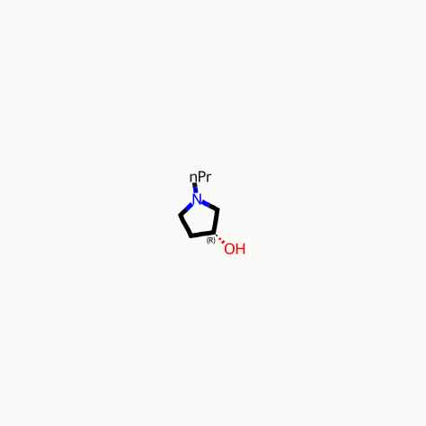 [CH2]CCN1CC[C@@H](O)C1